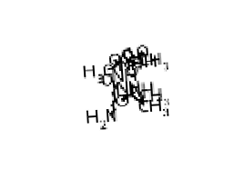 CC(=O)C1CCCC1(NC(=O)[C@H](C)NC(=O)[C@H](CCCCN)NC(=O)[C@@H](N)CC(C)C)C(=O)O